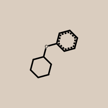 [CH]1CCCC(Oc2ccccc2)C1